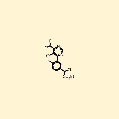 CCOC(=O)C(Cl)c1ccc(F)c(-c2ncnc(C(F)F)c2Cl)c1